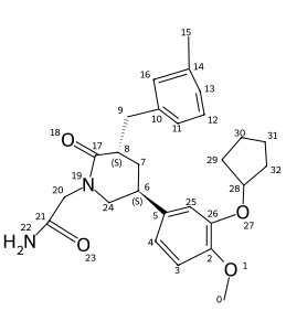 COc1ccc([C@@H]2C[C@@H](Cc3cccc(C)c3)C(=O)N(CC(N)=O)C2)cc1OC1CCCC1